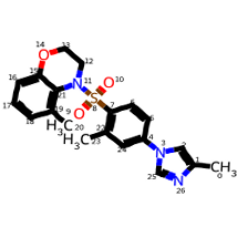 Cc1cn(-c2ccc(S(=O)(=O)N3CCOc4cccc(C)c43)c(C)c2)cn1